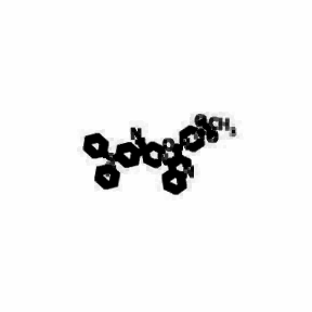 CS(=O)(=O)N1CCN(C(=O)c2cnc3ccccc3c2N2CCC(C#N)(c3ccc([SH](c4ccccc4)c4ccccc4)cc3)CC2)CC1